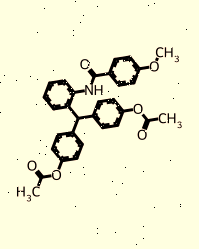 COc1ccc(C(=O)Nc2ccccc2C(c2ccc(OC(C)=O)cc2)c2ccc(OC(C)=O)cc2)cc1